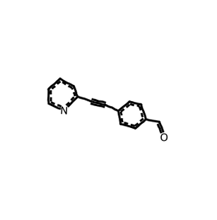 O=Cc1ccc(C#Cc2ccccn2)cc1